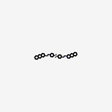 C[Si](C)(c1ccc(/C=C/c2ccc3cc4ccccc4cc3c2)cc1)c1ccc(/C=C/c2ccc3cc4ccccc4cc3c2)cc1